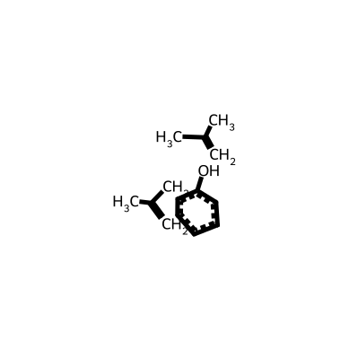 C=C(C)C.C=C(C)C.Oc1ccccc1